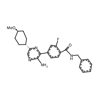 CO[C@H]1CC[C@H](c2cnc(N)c(-c3ccc(C(=O)NCc4ccccc4)c(F)c3)n2)CC1